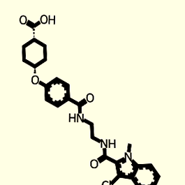 Cn1c(C(=O)NCCNC(=O)c2ccc(O[C@H]3CC[C@@H](C(=O)O)CC3)cc2)c(Cl)c2ccccc21